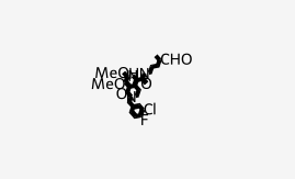 COc1nc(C(=O)NCCCC(C)C=O)c2c(c1OC)C(=O)N(Cc1ccc(F)c(Cl)c1)CC2